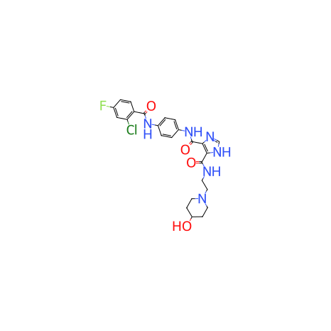 O=C(Nc1ccc(NC(=O)c2nc[nH]c2C(=O)NCCN2CCC(O)CC2)cc1)c1ccc(F)cc1Cl